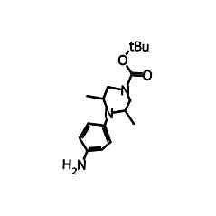 CC1CN(C(=O)OC(C)(C)C)CC(C)N1c1ccc(N)cc1